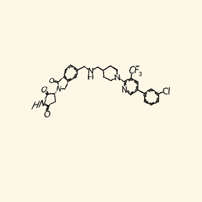 O=C1C[C@@H](N2Cc3cc(CNCC4CCN(c5ncc(-c6cccc(Cl)c6)cc5C(F)(F)F)CC4)ccc3C2=O)C(=O)N1